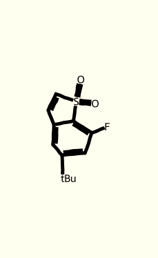 CC(C)(C)c1cc(F)c2c(c1)C=CS2(=O)=O